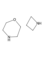 C1CNC1.C1COCCN1